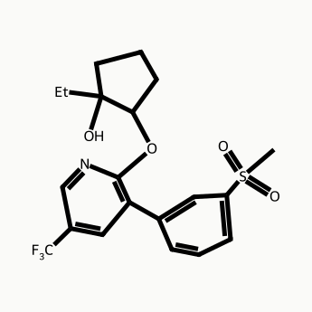 CCC1(O)CCCC1Oc1ncc(C(F)(F)F)cc1-c1cccc(S(C)(=O)=O)c1